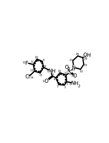 Nc1ccc(C(=O)Nc2ccc(F)c(Cl)c2)cc1S(=O)(=O)N1CCC(O)CC1